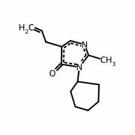 C=CCc1cnc(C)n(C2CCCCC2)c1=O